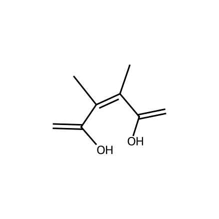 C=C(O)/C(C)=C(/C)C(=C)O